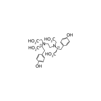 O=C(O)CN(CCN(CC(=O)O)[C@@H](Cc1ccc(O)cc1)C(=O)O)[C@@H](Cc1ccc(O)cc1)C(=O)O